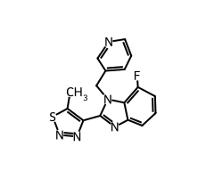 Cc1snnc1-c1nc2cccc(F)c2n1Cc1cccnc1